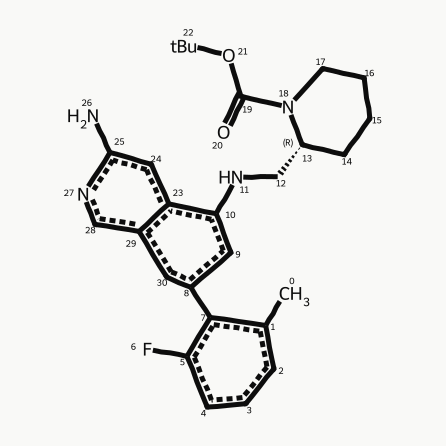 Cc1cccc(F)c1-c1cc(NC[C@H]2CCCCN2C(=O)OC(C)(C)C)c2cc(N)ncc2c1